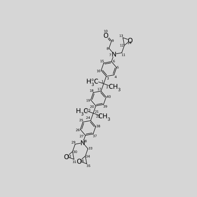 CC(C)(c1ccc(N(CC=O)CC2CO2)cc1)c1ccc(C(C)(C)c2ccc(N(CC3CO3)CC3CO3)cc2)cc1